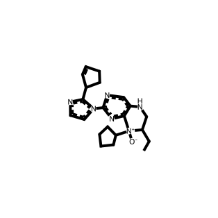 CCC1CNc2cnc(-n3ccnc3C3C=CCC3)nc2[N+]1([O-])C1CCCC1